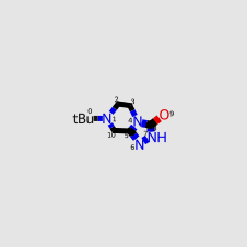 CC(C)(C)N1CCn2c(n[nH]c2=O)C1